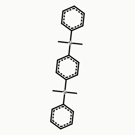 C[Si](C)(c1ccccc1)c1ccc([Si](C)(C)c2ccccc2)cc1